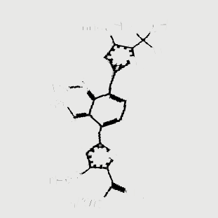 C=C(CCCCC)c1sc(C2=CC=C(c3cc(CCCCCC)c(C(C)(C)CC)s3)C(=N/S)/C2=C\CCC)cc1CCCCCC